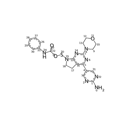 Nc1ncc(-c2nc(N3CCOCC3)nc3c2CCN3SOC(=O)Nc2ccccc2)cn1